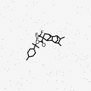 CC1CCC(C(C)(C)OC(=O)C2(C(F)(F)F)CC3CC2C2C4CC(C(C)C4C)C32)CC1